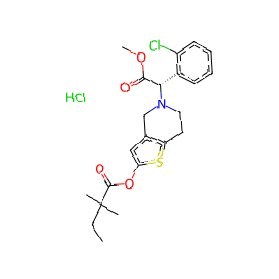 CCC(C)(C)C(=O)Oc1cc2c(s1)CCN([C@H](C(=O)OC)c1ccccc1Cl)C2.Cl